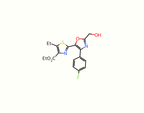 CCOC(=O)c1nc(-c2oc(CO)nc2-c2ccc(F)cc2)sc1CC